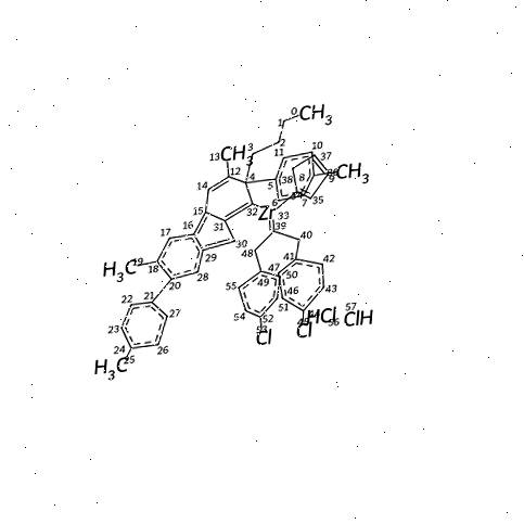 CCCCC1(c2ccc(C)cc2)C(C)=CC2=c3cc(C)c(-c4ccc(C)cc4)cc3=CC2=[C]1[Zr]([C]1=CC=CC1)=[C](Cc1ccc(Cl)cc1)Cc1ccc(Cl)cc1.Cl.Cl